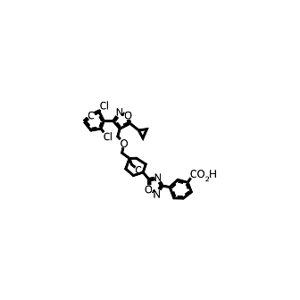 O=C(O)c1cccc(-c2noc(C34CCC(COCc5c(-c6c(Cl)cccc6Cl)noc5C5CC5)(CC3)CC4)n2)c1